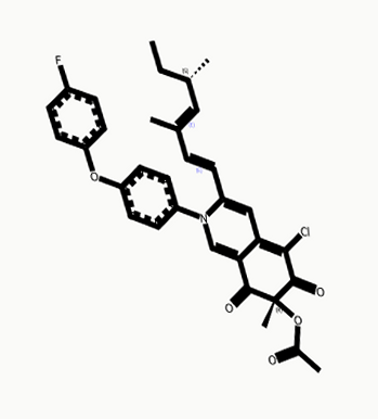 CC[C@H](C)/C=C(C)/C=C/C1=CC2=C(Cl)C(=O)[C@](C)(OC(C)=O)C(=O)C2=CN1c1ccc(Oc2ccc(F)cc2)cc1